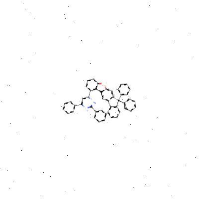 c1ccc(-c2cc(-c3cccc4oc5cc6c(cc5c34)-c3ccccc3C6(c3ccccc3)c3ccccc3)nc(-c3ccccc3)n2)cc1